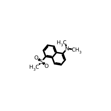 CN(C)c1cccc2c(S(C)(=O)=O)cccc12